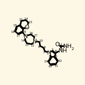 NC(=O)Nc1cn(CCCCN2CCCN(c3cccc4c3OCCC4)CC2)c2ccccc12